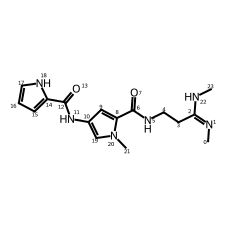 C/N=C(\CCNC(=O)c1cc(NC(=O)c2ccc[nH]2)cn1C)NC